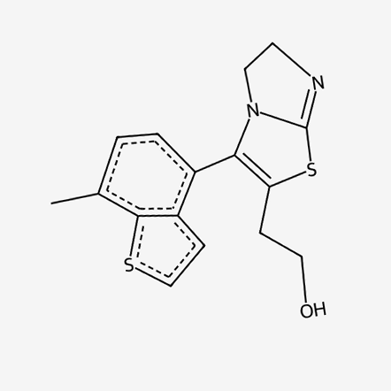 Cc1ccc(C2=C(CCO)SC3=NCCN32)c2ccsc12